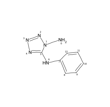 Nn1nnnc1Nc1ccccc1